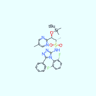 Cc1cnc([C@@H](O[Si](C)(C)C(C)(C)C)[C@H](C)S(=O)(=O)Nc2nnc(-c3ccccc3)n2-c2c(F)cccc2F)nc1